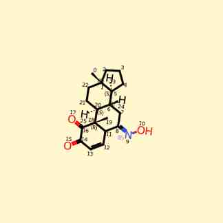 C[C@@]12CCC[C@H]1[C@@H]1C/C(=N\O)C3C=CC(=O)C(=O)[C@]3(C)[C@H]1CC2